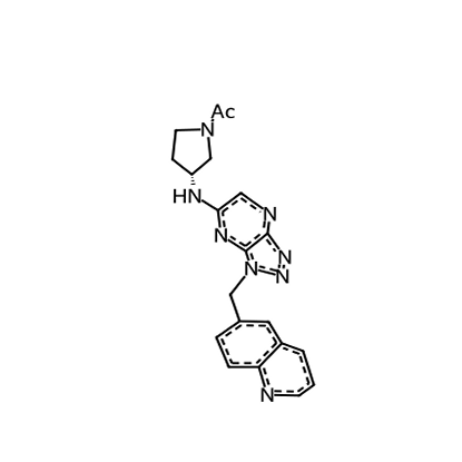 CC(=O)N1CC[C@@H](Nc2cnc3nnn(Cc4ccc5ncccc5c4)c3n2)C1